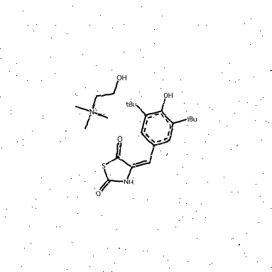 CC(C)(C)c1cc(C=C2NC(=O)SC2=O)cc(C(C)(C)C)c1O.C[N+](C)(C)CCO